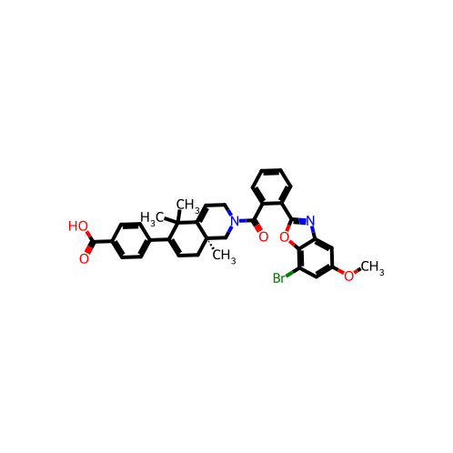 COc1cc(Br)c2oc(-c3ccccc3C(=O)N3CC=C4C(C)(C)C(c5ccc(C(=O)O)cc5)=CC[C@]4(C)C3)nc2c1